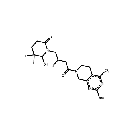 CC(C)(C)c1nc2c(c(C(F)(F)F)n1)CCN(C(=O)CC(N)CN1C(=O)CCC(F)(F)C1O)C2